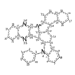 c1ccc(-n2c3ccccc3c3cc4c5c6ccccc6ccc5n5c6nc7ccccc7nc6c(c32)c45)cc1